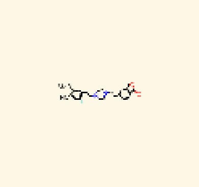 COc1cc(CCN2CCN(CCc3ccc4c(c3)COC4=O)CC2)c(F)cc1C#N